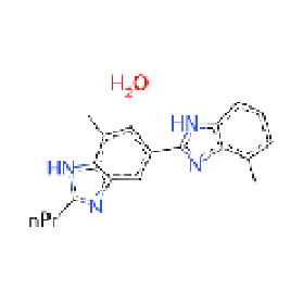 CCCc1nc2cc(-c3nc4c(C)cccc4[nH]3)cc(C)c2[nH]1.O